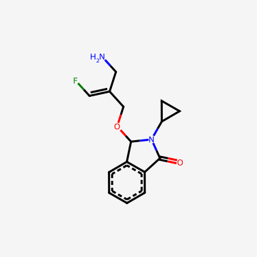 NCC(=CF)COC1c2ccccc2C(=O)N1C1CC1